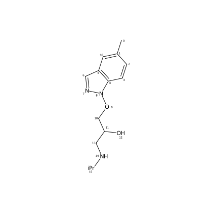 Cc1ccc2c(cnn2OCC(O)CNC(C)C)c1